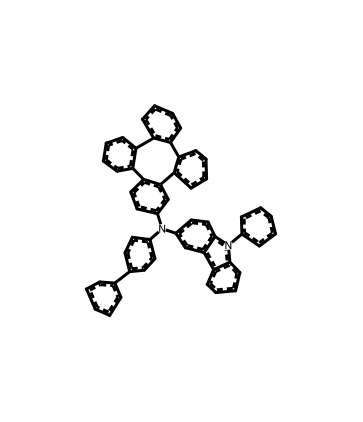 c1ccc(-c2ccc(N(c3ccc4c(c3)-c3ccccc3-c3ccccc3-c3ccccc3-4)c3ccc4c(c3)c3ccccc3n4-c3ccccc3)cc2)cc1